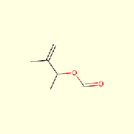 C=C(C)C(C)O[C]=O